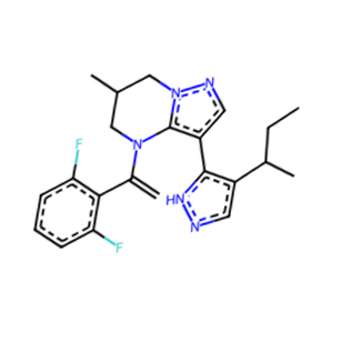 C=C(c1c(F)cccc1F)N1CC(C)Cn2ncc(-c3[nH]ncc3C(C)CC)c21